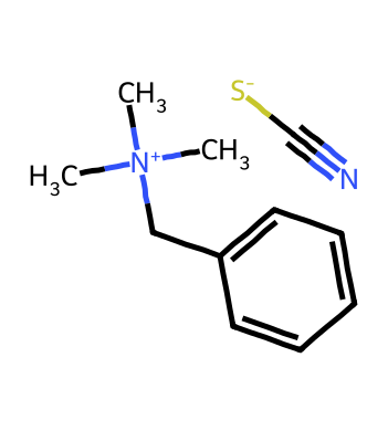 C[N+](C)(C)Cc1ccccc1.N#C[S-]